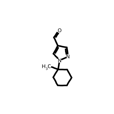 CC1(n2cc(C=O)cn2)CCCCC1